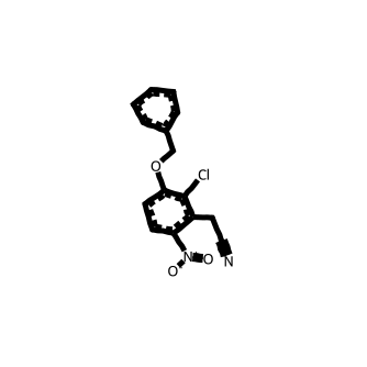 N#CCc1c([N+](=O)[O-])ccc(OCc2ccccc2)c1Cl